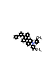 Cc1cccc(N(c2cccc(C)c2)c2ccc(-c3c4ccccc4c(-c4cccc(-c5ccccc5)c4)c4ccccc34)c3ccccc23)c1